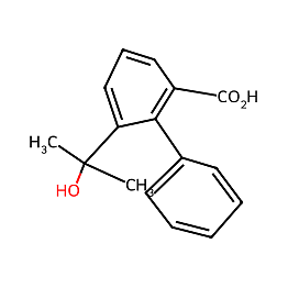 CC(C)(O)c1cccc(C(=O)O)c1-c1ccccc1